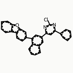 Clc1nc(-c2ccccc2)cc(-c2cc(-c3ccc4c(c3)oc3ccccc34)c3ccccc3c2)n1